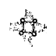 CCOc1ccc(OCC)c2c1-c1nc-2nc2[nH]c(nc3nc(nc4[nH]c(n1)c1c(OCC)ccc(OCC)c41)-c1c(OCC)ccc(OCC)c1-3)c1c(OCC)ccc(OCC)c21.[LiH]